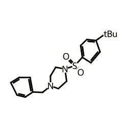 CC(C)(C)c1ccc(S(=O)(=O)N2CCN(Cc3ccccc3)CC2)cc1